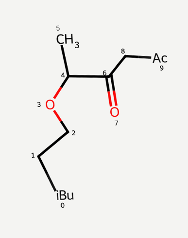 CCC(C)CCOC(C)C(=O)CC(C)=O